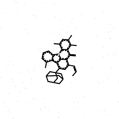 C=c1c2c(C)c(C)cc(C)c2n2c3cccc(C)c3c3c(C45CC6CC(CC(C6)C4)C5)cc(/C=C\C)c1c32